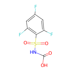 O=C(O)NS(=O)(=O)c1c(F)cc(F)cc1F